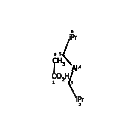 CC(=O)O.CC(C)[CH2][Al][CH2]C(C)C